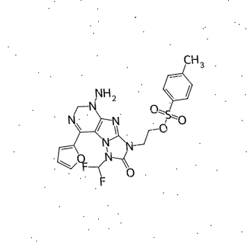 Cc1ccc(S(=O)(=O)OCCn2c(=O)n(C(F)F)n3c4c(nc23)N(N)CN=C4c2ccco2)cc1